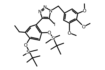 CCc1cc(-c2nnn(Cc3cc(OC)c(OC)c(OC)c3)c2I)c(O[Si](C)(C)C(C)(C)C)cc1O[Si](C)(C)C(C)(C)C